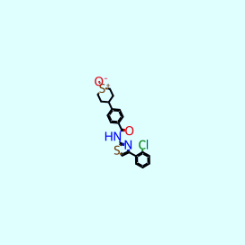 O=C(Nc1nc(-c2ccccc2Cl)cs1)c1ccc(C2CC[S+]([O-])CC2)cc1